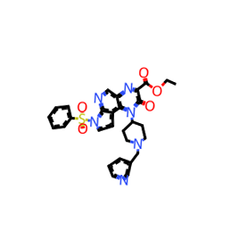 CCOC(=O)c1nc2cnc3c(ccn3S(=O)(=O)c3ccccc3)c2n(C2CCN(Cc3cccnc3)CC2)c1=O